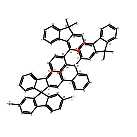 CC(C)(C)c1ccc2c(c1)C1(c3ccccc3-c3ccc(-c4ccccc4N(c4ccc5c(c4)C(C)(C)c4ccccc4-5)c4ccccc4-c4cccc5c4-c4ccccc4C5(C)C)cc31)c1cc(C(C)(C)C)ccc1-2